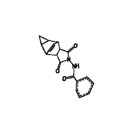 O=C(NN1C(=O)C2C3C=CC(C4CC34)C2C1=O)c1ccccc1